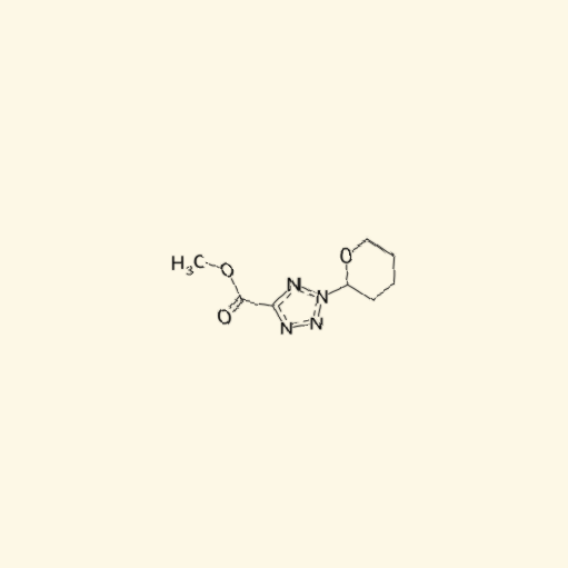 COC(=O)c1nnn(C2CCCCO2)n1